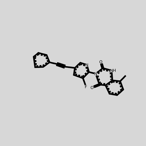 Cc1cccc2c(=O)n(-c3ncc(C#Cc4ccccc4)cc3F)c(=O)[nH]c12